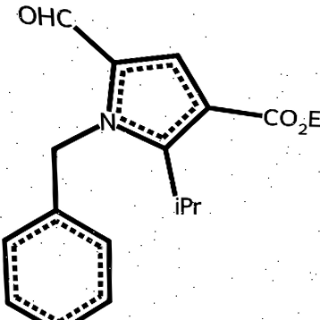 CCOC(=O)c1cc(C=O)n(Cc2ccccc2)c1C(C)C